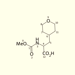 COC(=O)NC(CC1CCOCC1)C(=O)O